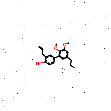 C=CCc1cc(-c2cc(CCC)cc(OC)c2OC)ccc1O